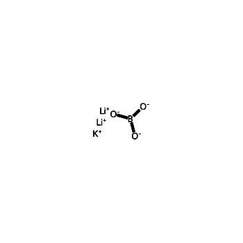 [K+].[Li+].[Li+].[O-]B([O-])[O-]